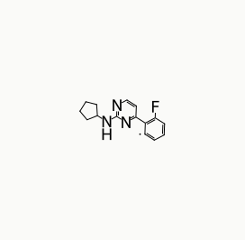 Fc1ccc[c]c1-c1ccnc(NC2CCCC2)n1